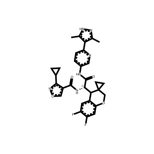 Cc1n[nH]c(C)c1-c1ccc(NC(=O)[C@@H](NC(=O)c2conc2C2CC2)C2c3cc(F)c(F)cc3OCC23CC3)cn1